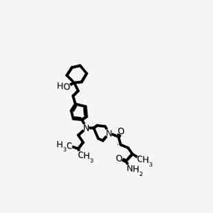 CC(C)CCN(c1ccc(CCC2(O)CCCCC2)cc1)C1CCN(C(=O)[CH]CC(C)C(N)=O)CC1